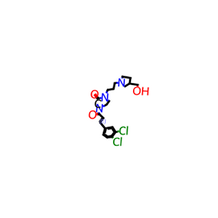 O=C(/C=C/c1ccc(Cl)c(Cl)c1)N1CCN(CCCN2CCC(CO)C2)C(=O)C1